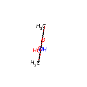 CCCCCCCCC=CCCCCCCCC(=O)CCCCCCCCCCC(=O)NC(CO)CCCCCCCCCCCCCCCC